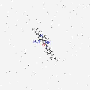 CCCc1ccc(/C=C/C(=O)Nc2ccc3nc(CCC)cc(N)c3c2)cc1